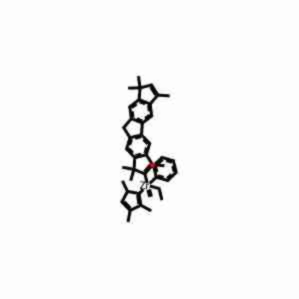 [CH2]=[Zr]([CH2]C)([C]1=C(C)C(C)=CC1C)([C]1=C(C)c2cc3c(cc2C1(C)C)Cc1cc2c(cc1-3)C(C)=CC2(C)C)[c]1ccccc1